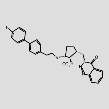 O=C(O)[C@@H]1[C@@H](Cn2nnc3ccccc3c2=O)CC[C@H]1SCCc1ccc(-c2ccc(F)cc2)cc1